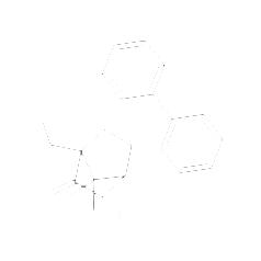 CC1(C)C2CCC1(CS(=O)(=O)O)C(=O)C2.I.c1ccc(-c2ccccc2)cc1